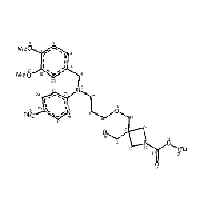 COc1ccc(CN(CCC2OCC3(CO2)CN(C(=O)OC(C)(C)C)C3)c2ccc(C#N)cn2)cc1OC